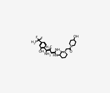 CC(/C=C(\N)NC1CCCN(CC(=O)N2CCC(O)CC2)C1)=C(/N)c1ccc(C(F)(F)P)cc1O